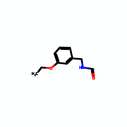 CCOc1cccc(CN[C]=O)c1